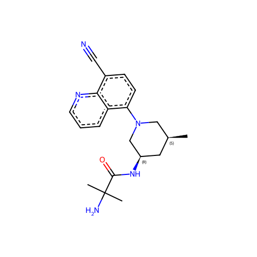 C[C@H]1C[C@@H](NC(=O)C(C)(C)N)CN(c2ccc(C#N)c3ncccc23)C1